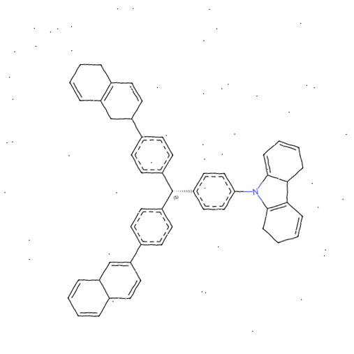 C1=CCC2C(=C1)N(c1ccc([C@H](c3ccc(C4=CC5C=CC=CC5C=C4)cc3)c3ccc(C4C=CC5=C(C=CCC5)C4)cc3)cc1)C1=C2C=CCC1